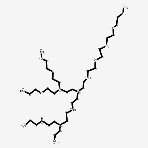 COCCOCCOCCOCCNCCN(CCNCCN(CCN)CCNCCN)CCN(CCOCCO)CCOCCOC